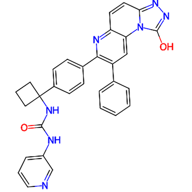 O=C(Nc1cccnc1)NC1(c2ccc(-c3nc4ccc5nnc(O)n5c4cc3-c3ccccc3)cc2)CCC1